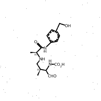 C[C@H](NC[C@H](C)C(C=O)NC(=O)O)C(=O)Nc1ccc(CO)cc1